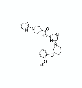 CCOc1ccccc1O[C@@H]1CCCN(c2cncc(NC(=O)C3CCN(c4ncccn4)CC3)n2)C1